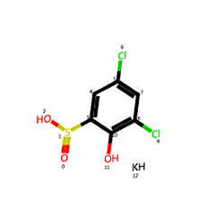 O=S(O)c1cc(Cl)cc(Cl)c1O.[KH]